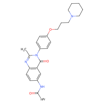 CCCC(=O)Nc1ccc2nc(C)n(-c3ccc(OCCCN4CCCCC4)cc3)c(=O)c2c1